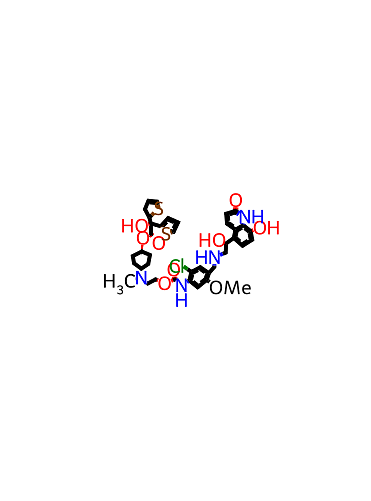 COc1cc(NC(=O)OCCN(C)[C@H]2CC[C@H](OC(=O)C(O)(c3cccs3)C3CC=CS3)CC2)c(Cl)cc1CNC[C@H](O)c1ccc(O)c2[nH]c(=O)ccc12